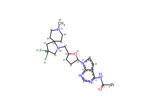 CC(C)C(=O)Nc1ncnc2c1ccn2C1CCC(CN2CC(F)(F)CC23CCN(C)CC3)O1